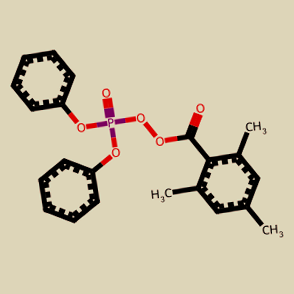 Cc1cc(C)c(C(=O)OOP(=O)(Oc2ccccc2)Oc2ccccc2)c(C)c1